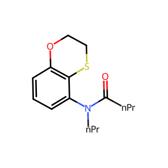 CCCC(=O)N(CCC)c1cccc2c1SCCO2